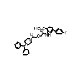 O=C(COCC(=O)N1CCN(C(c2ccccc2)c2ccccc2)CC1)Nc1cc(-c2ccc(F)cc2)ccc1C(=O)O